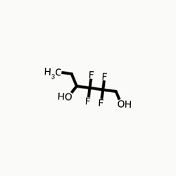 CCC(O)C(F)(F)C(F)(F)CO